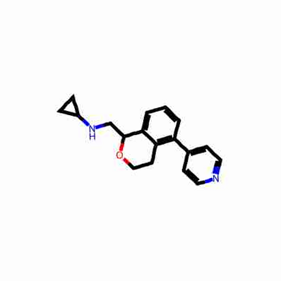 c1cc(-c2ccncc2)c2c(c1)C(CNC1CC1)OCC2